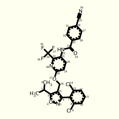 CC(C)c1onc(-c2c(Cl)cccc2Cl)c1COc1ccc(NC(=O)c2ccc(C#N)cc2)c(C(F)(F)F)n1